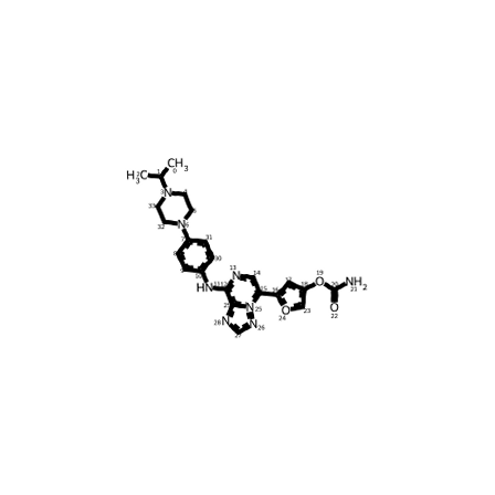 CC(C)N1CCN(c2ccc(Nc3ncc(-c4cc(OC(N)=O)co4)n4ncnc34)cc2)CC1